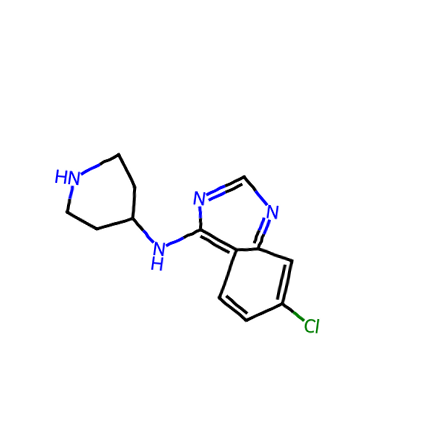 Clc1ccc2c(NC3CCNCC3)ncnc2c1